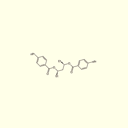 CCCc1ccc(C(=O)O[C@H](CC)C[C@@H](CC)OC(=O)c2ccc(CCC)cc2)cc1